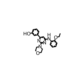 CCOc1ccccc1Nc1cc(-c2cccc(O)c2)nc(N2CCOCC2)n1